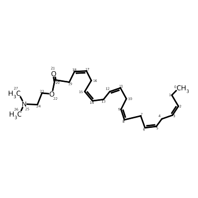 CC/C=C\C/C=C\C/C=C\C/C=C\C/C=C\C/C=C\CC(=O)OCCN(C)C